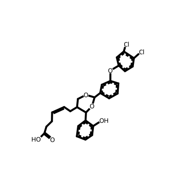 O=C(O)CC/C=C\CC1COC(c2cccc(Oc3ccc(Cl)c(Cl)c3)c2)OC1c1ccccc1O